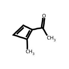 CC(=O)C1=C(C)C=C1